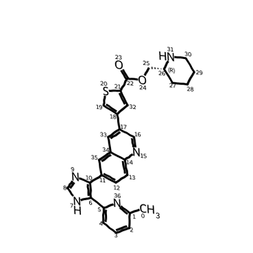 Cc1cccc(-c2[nH]cnc2-c2ccc3ncc(-c4csc(C(=O)OC[C@H]5CCCCN5)c4)cc3c2)n1